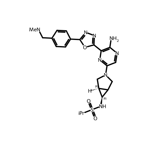 CNCc1ccc(-c2nnc(-c3nc(N4CC5[C@@H](NS(=O)(=O)C(C)C)[C@H]5C4)cnc3N)o2)cc1